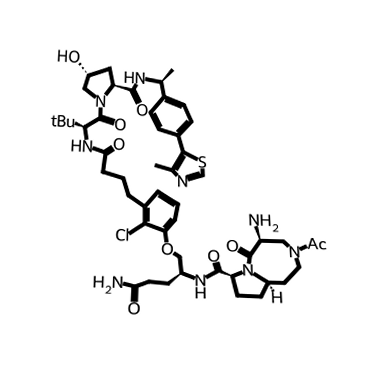 CC(=O)N1CC[C@H]2CC[C@@H](C(=O)N[C@@H](CCC(N)=O)COc3cccc(CCCC(=O)N[C@H](C(=O)N4C[C@H](O)C[C@H]4C(=O)N[C@@H](C)c4ccc(-c5scnc5C)cc4)C(C)(C)C)c3Cl)N2C(=O)[C@@H](N)C1